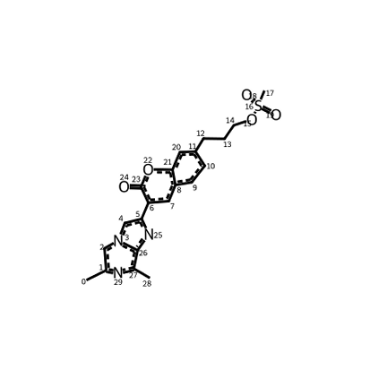 Cc1cn2cc(-c3cc4ccc(CCCOS(C)(=O)=O)cc4oc3=O)nc2c(C)n1